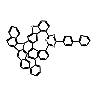 c1ccc(-c2ccc(-c3nc(-c4ccccc4)nc(-c4cccc5oc6cc(-n7c8cc9ccccc9cc8c8ccc9ccccc9c87)c(-c7ccc(-c8ccccc8)cc7)cc6c45)n3)cc2)cc1